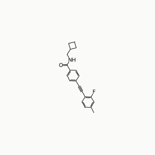 Cc1ccc(C#Cc2ccc(C(=O)NCC3CCC3)cc2)c(F)c1